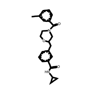 Cc1cccc(C(=O)N2CCOC(Cc3cccc(C(=O)NC4CC4)c3)C2)c1